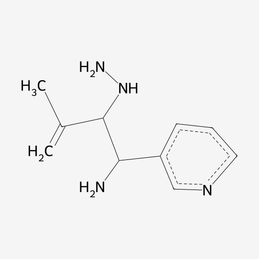 C=C(C)C(NN)C(N)c1cccnc1